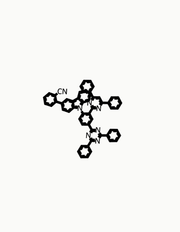 N#Cc1ccccc1-c1ccc2c(c1)c1ccccc1n2-c1ccc(-c2nc(-c3ccccc3)nc(-c3ccccc3)n2)cc1-c1nc(-c2ccccc2)cc(-c2ccccc2)n1